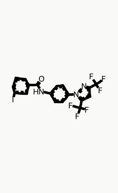 O=C(Nc1ccc(-n2nc(C(F)(F)F)cc2C(F)(F)F)cc1)c1cccc(I)c1